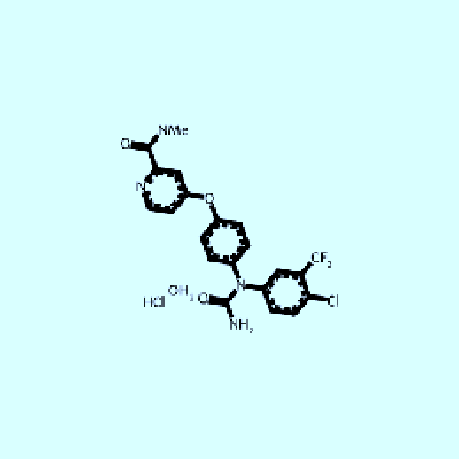 CNC(=O)c1cc(Oc2ccc(N(C(N)=O)c3ccc(Cl)c(C(F)(F)F)c3)cc2)ccn1.Cl.O